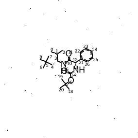 CC(C)[C@@H](CC(C)(C)C)NC(=O)[C@@H](NC(=O)OC(C)(C)C)c1ccccc1